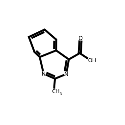 Cc1nc(C(=O)O)c2ccccc2n1